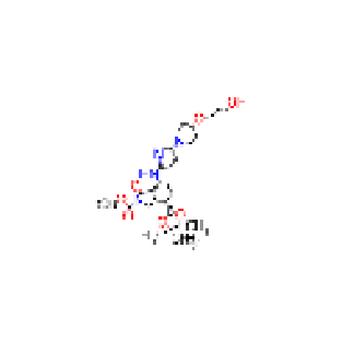 CC(C)(C)OC(=O)N1Cc2c(B3OC(C)(C)C(C)(C)O3)ccc(Nc3ccc(N4CCC(OCCCO)CC4)cn3)c2C1=O